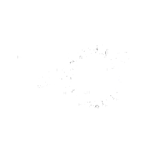 C#CCCCCO[C@@H]1CC[C@@H](C[C@@H](C)[C@@H]2CC(=O)[C@H](C)/C=C(\C)[C@@H](O)[C@@H](OC)C(=O)[C@H](C)C[C@H](C)/C=C/C=C/C=C(\C)C(c3ccco3)C[C@@H]3CC[C@@H](C)[C@@](O)(O3)C(=O)C(=O)N3CCCC[C@H]3C(=O)O2)C[C@H]1OC